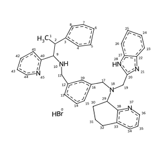 Br.CC(c1ccccc1)C(NCc1cccc(CN(Cc2nc3ccccc3[nH]2)C2CCCc3cccnc32)c1)c1ccccn1